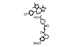 COc1ccc2c(c1)CCCN2C(=O)/C=C/C(=O)N1CCN(C(O)C[C@@H]2N=C(c3ccc(Cl)cc3)c3c(sc(C)c3C)-n3c(C)nnc32)CC1